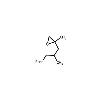 CCCC(C)CC(C)CC1(C)CO1